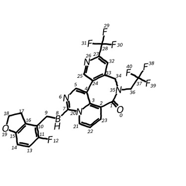 O=C1C2=C3C(=CN=C(BCc4c(F)ccc5c4CCO5)N3C=C=C2)c2cnc(C(F)(F)F)cc2CN1CC(F)(F)F